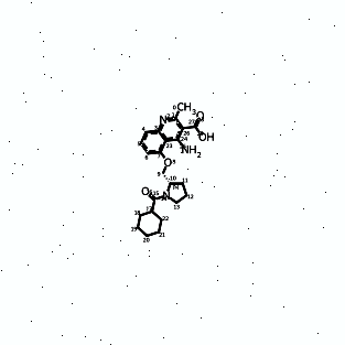 Cc1nc2cccc(OC[C@@H]3CCCN3C(=O)C3CCCCC3)c2c(N)c1C(=O)O